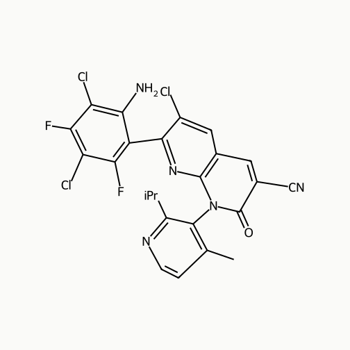 Cc1ccnc(C(C)C)c1-n1c(=O)c(C#N)cc2cc(Cl)c(-c3c(N)c(Cl)c(F)c(Cl)c3F)nc21